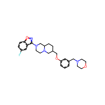 Fc1ccc2onc(N3CCN4CC(COc5cccc(CN6CCOCC6)c5)CCC4C3)c2c1